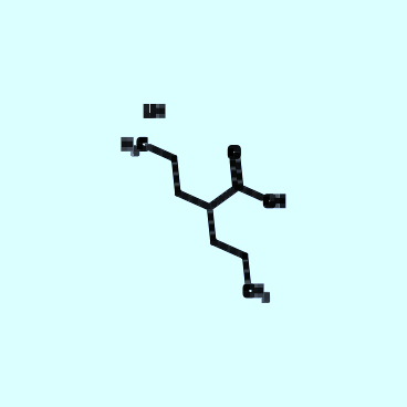 CCCC(CCC)C(=O)O.[LiH]